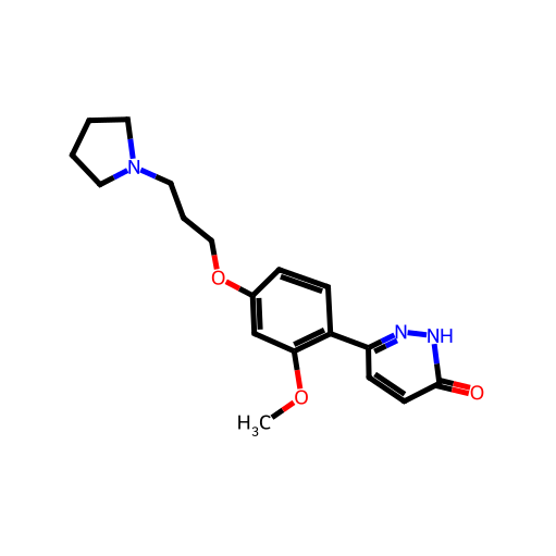 COc1cc(OCCCN2CCCC2)ccc1-c1ccc(=O)[nH]n1